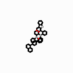 c1cc(-c2ccc(-c3cccc4ccccc34)cc2)cc(N(c2ccccc2-c2cccc3c2oc2ccccc23)c2ccccc2-n2c3ccccc3c3ccccc32)c1